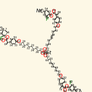 C=C(C(=O)Oc1ccc(C#N)cc1F)c1ccc(OCCCCCCCCCCOC(CC)(OCCCCCCCCCCOc2ccc(C(=C)C(=O)Oc3ccc(C#N)cc3F)cc2)OCCCCCCCCCCOc2ccc(C(=C)C(=O)Oc3ccc(C#N)cc3F)cc2)cc1